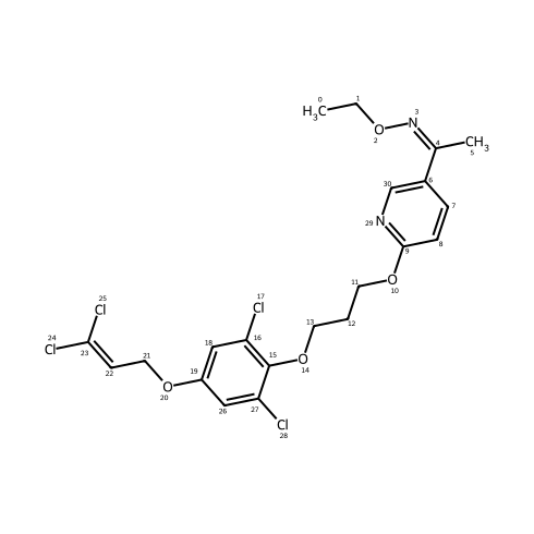 CCO/N=C(/C)c1ccc(OCCCOc2c(Cl)cc(OCC=C(Cl)Cl)cc2Cl)nc1